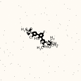 COc1ncc(-c2cc(F)cc(-c3ccc(-n4ccn(C)c4=O)c(Cl)c3)c2O)cc1N1CC(C)(C)[C@@](C)(O)C1